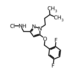 CC(C)CCn1nc(CNCl)cc1OCc1cc(F)ccc1F